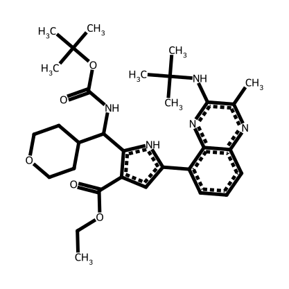 CCOC(=O)c1cc(-c2cccc3nc(C)c(NC(C)(C)C)nc23)[nH]c1C(NC(=O)OC(C)(C)C)C1CCOCC1